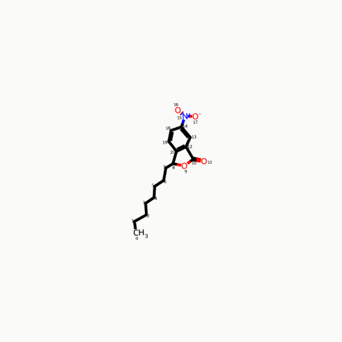 CCCCCCCCC1OC(=O)c2cc([N+](=O)[O-])ccc21